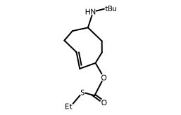 CCSC(=O)OC1/C=C/CCC(NC(C)(C)C)CC1